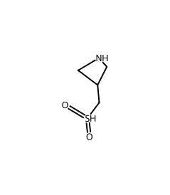 O=[SH](=O)CC1CNC1